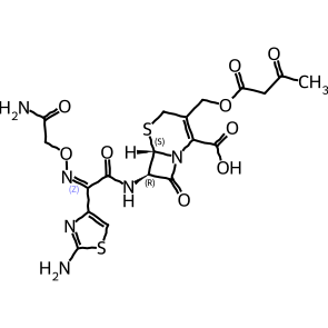 CC(=O)CC(=O)OCC1=C(C(=O)O)N2C(=O)[C@@H](NC(=O)/C(=N\OCC(N)=O)c3csc(N)n3)[C@@H]2SC1